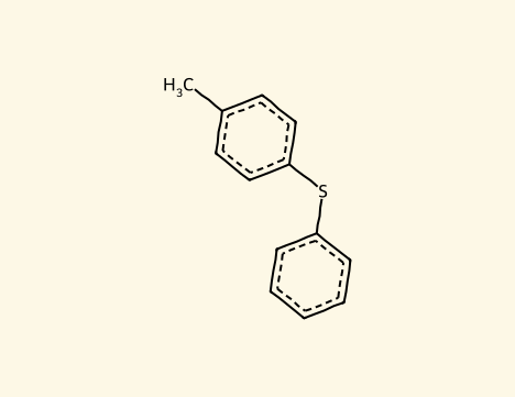 Cc1ccc(Sc2ccccc2)cc1